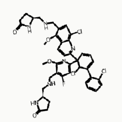 COc1nc(C2(c3ccc4c(OC)c(CNC[C@@H]5CCC(=O)N5)cc(Cl)c4n3)C=CC=C(c3ccccc3Cl)C2Cl)cc(F)c1CNC[C@H]1CCC(=O)N1